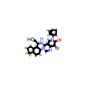 C#CC(Nc1ncnc2c(Br)c(=O)n(C34CCC(CC3)C4)cc12)c1cccc2c1CCC2(F)F